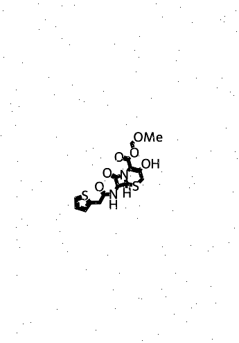 COCOC(=O)C1=C(O)CS[C@@H]2C(NC(=O)Cc3cccs3)C(=O)N12